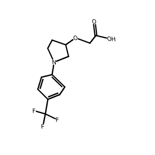 O=C(O)COC1CCN(c2ccc(C(F)(F)F)cc2)C1